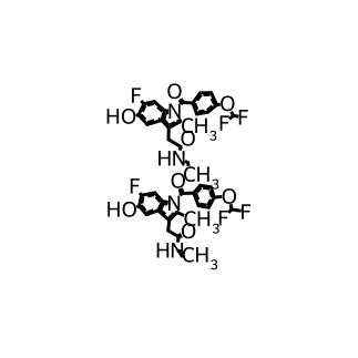 CCNC(=O)Cc1c(C)n(C(=O)c2ccc(OC(F)F)cc2)c2cc(F)c(O)cc12.CNC(=O)Cc1c(C)n(C(=O)c2ccc(OC(F)F)cc2)c2cc(F)c(O)cc12